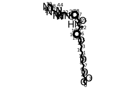 COC(=O)COCCCOCCCCCOc1cccc(C(C)NC(=O)c2cccc(NCc3nnc(-c4ccncn4)n3C)c2)c1